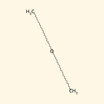 CCCCCCCCCCCCCCCCCCCCCCCCCCCCCCOCCCCCCCCCCCCCCCCCCCCCCCCCCCCCC